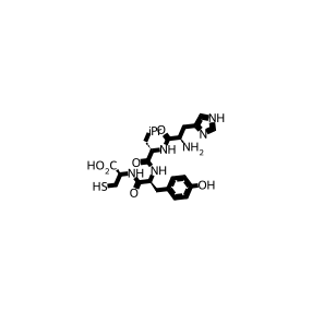 CC(C)C[C@H](NC(=O)[C@@H](N)Cc1c[nH]cn1)C(=O)N[C@@H](Cc1ccc(O)cc1)C(=O)N[C@@H](CS)C(=O)O